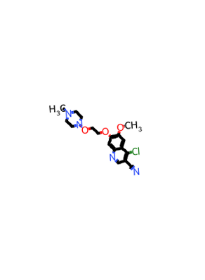 COc1cc2c(Cl)c(C#N)cnc2cc1OCCON1CCN(C)CC1